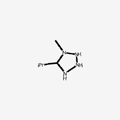 CC(C)C1NNNN1C